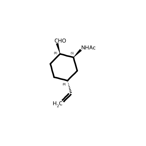 C=C[C@@H]1CC[C@@H](C=O)[C@@H](NC(C)=O)C1